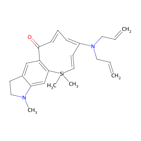 C=CCN(CC=C)C1=C\C=C\C(=O)c2cc3c(cc2[Si](C)(C)\C=C\1)N(C)CC3